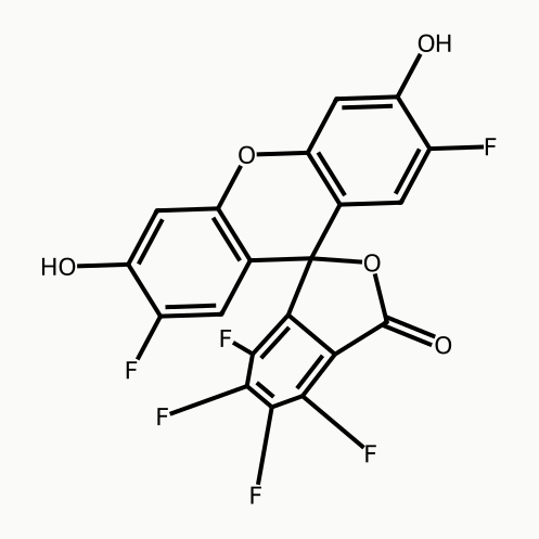 O=C1OC2(c3cc(F)c(O)cc3Oc3cc(O)c(F)cc32)c2c(F)c(F)c(F)c(F)c21